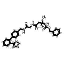 CC(C)(CC(=O)NCC(=O)NCc1ccc(-c2ccccc2-c2nnn[nH]2)cc1)NC(=O)OCc1ccccc1